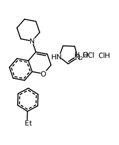 C1=C(N2CCCCC2)c2ccccc2OC1.C1=NCCN1.CCc1ccccc1.Cl.Cl.O